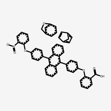 C1=CC2=CC=C1C2.O=C(O)c1ccccc1Oc1ccc(-c2c3ccccc3c(-c3ccc(Oc4ccccc4[N+](=O)[O-])cc3)c3ccccc23)cc1.c1cc2cc(c1)OC2